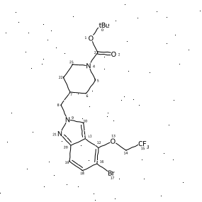 CC(C)(C)OC(=O)N1CCC(Cn2cc3c(OCC(F)(F)F)c(Br)ccc3n2)CC1